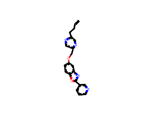 C=CCCc1cnc(COc2ccc3oc(-c4cccnc4)nc3c2)cn1